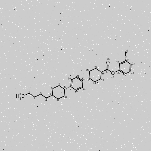 CCCCC[C@H]1CC[C@H](c2ccc([C@H]3CC[C@H](C(=O)Oc4cccc(F)c4)CC3)cc2)CC1